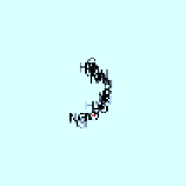 N#Cc1ccc(O[C@H]2CC[C@H](NC(=O)c3cnc(N4CCC(CN5CCC(n6ncc7c(N8CCC(=O)NC8=O)cncc76)CC5)CC4)nc3)CC2)cc1Cl